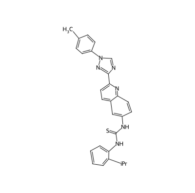 Cc1ccc(-n2cnc(-c3ccc4cc(NC(=S)Nc5ccccc5C(C)C)ccc4n3)n2)cc1